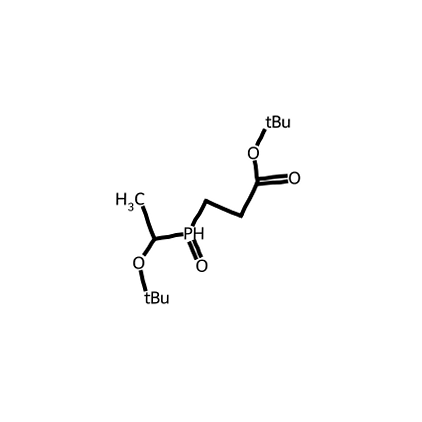 CC(OC(C)(C)C)[PH](=O)CCC(=O)OC(C)(C)C